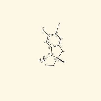 CC[C@@]1(C)Cc2cc(F)c(F)cc2[C@H]1N